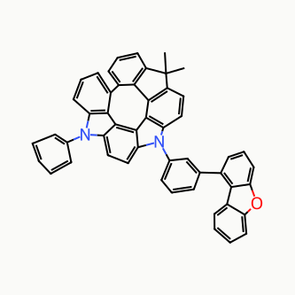 CC1(C)c2cccc3c4cccc5c4c4c6c7c(c1ccc7n(-c1cccc(-c7cccc8oc9ccccc9c78)c1)c6ccc4n5-c1ccccc1)c23